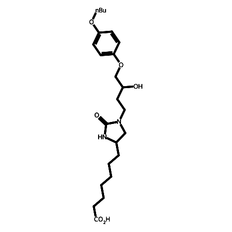 CCCCOc1ccc(OCC(O)CCN2CC(CCCCCCC(=O)O)NC2=O)cc1